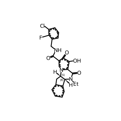 CCN1C(=O)c2c(O)c(=O)c(C(=O)NCc3cccc(Cl)c3F)cn2[C@H]2Cc3ccccc3[C@H]21